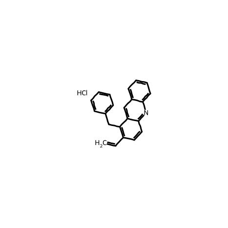 C=Cc1ccc2nc3ccccc3cc2c1Cc1ccccc1.Cl